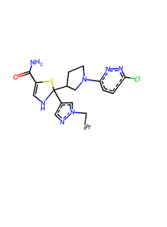 CC(C)Cn1cc(C2(C3CCN(c4ccc(Cl)nn4)C3)NC=C(C(N)=O)S2)cn1